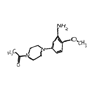 COc1ccc(N2CCN(C(C)=O)CC2)cc1N